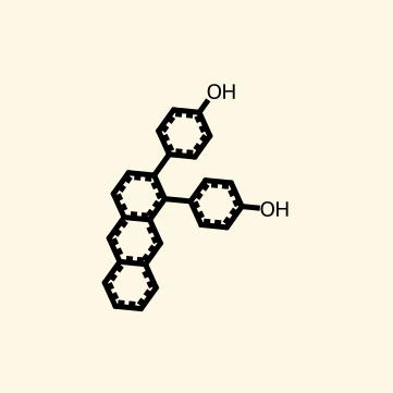 Oc1ccc(-c2ccc3cc4ccccc4cc3c2-c2ccc(O)cc2)cc1